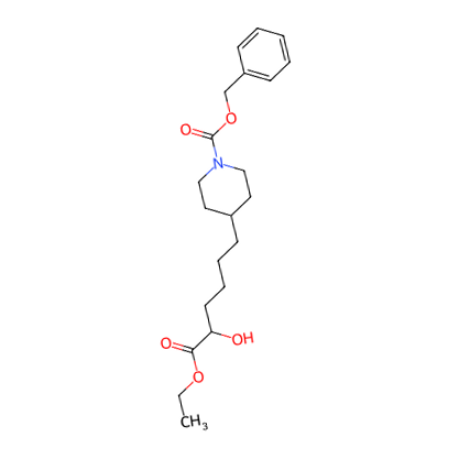 CCOC(=O)C(O)CCCCC1CCN(C(=O)OCc2ccccc2)CC1